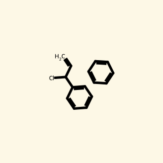 C=CC(Cl)c1ccccc1.c1ccccc1